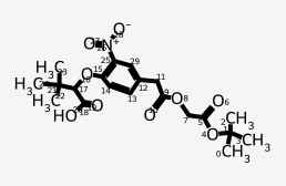 CC(C)(C)OC(=O)COC(=O)Cc1ccc(OC(C(=O)O)C(C)(C)C)c([N+](=O)[O-])c1